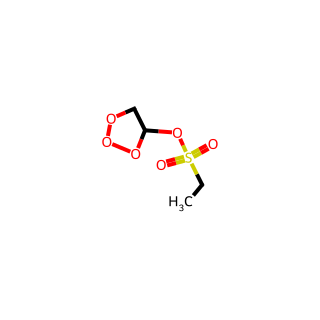 CCS(=O)(=O)OC1COOO1